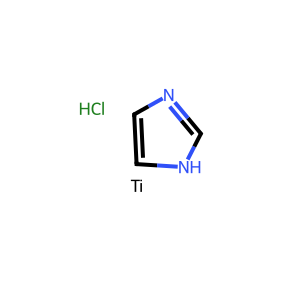 Cl.[Ti].c1c[nH]cn1